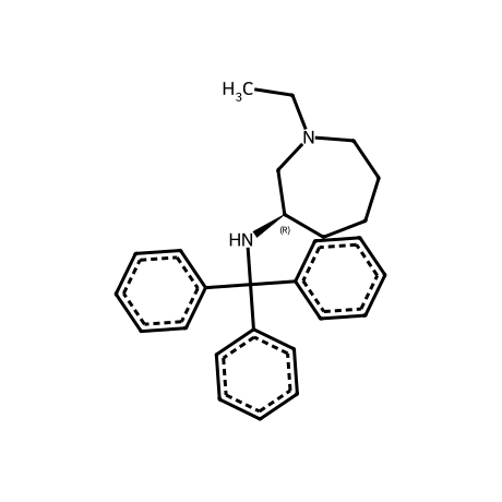 CCN1CCCC[C@@H](NC(c2ccccc2)(c2ccccc2)c2ccccc2)C1